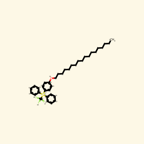 CCCCCCCCCCCCCCCCCCOc1ccc(S(c2ccccc2)(c2ccccc2)C(F)(F)F)cc1